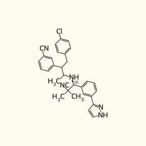 CC(N[C@@H](c1cccc(-c2cc[nH]n2)c1)C(C)(C)C#N)C(Cc1ccc(Cl)cc1)c1cccc(C#N)c1